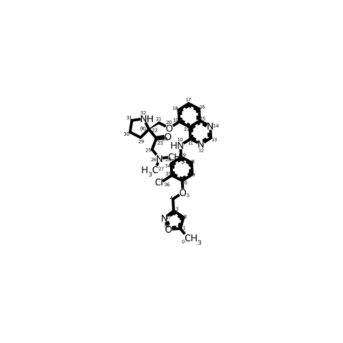 Cc1cc(COc2ccc(Nc3ncnc4cccc(OC[C@@]5(C(=O)CN(C)C)CCCN5)c34)cc2Cl)no1